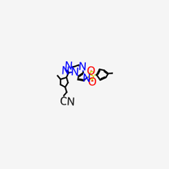 Cc1ccc(S(=O)(=O)n2ccc3c2ncc2nnc(C4CC(CCC#N)CC4C)n23)cc1